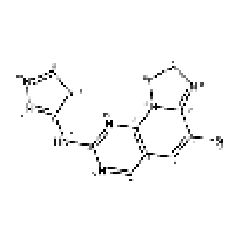 BrC1=Cc2cnc(Nc3nncs3)nc2N2CCN=C12